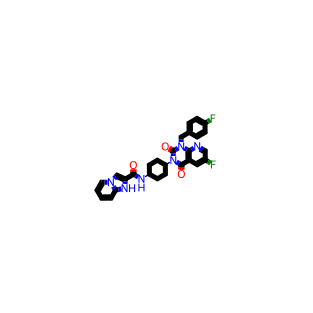 O=C(N[C@H]1CC[C@@H](n2c(=O)c3cc(F)cnc3n(Cc3ccc(F)cc3)c2=O)CC1)C1=CN2C=CC=CC2N1